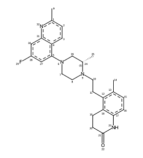 Cc1ccc2c(N3CCN(CCc4c(C)ccc5c4CCC(=O)N5)[C@@H](C)C3)cc(F)cc2n1